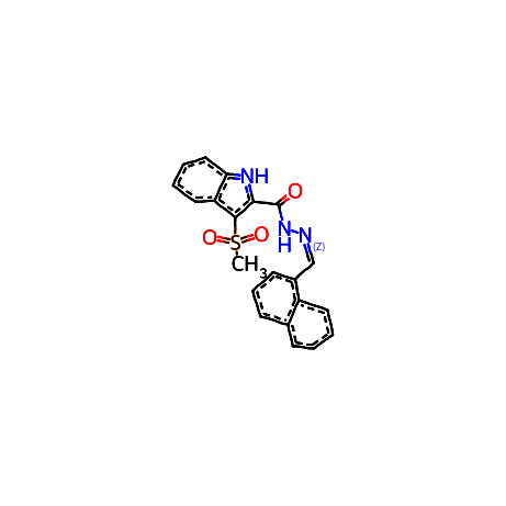 CS(=O)(=O)c1c(C(=O)N/N=C\c2cccc3ccccc23)[nH]c2ccccc12